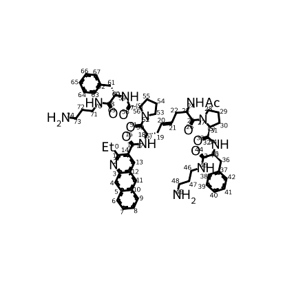 CCc1nc2cc3ccccc3cc2cc1C(=O)N[C@@H](CC=CCC(NC(C)=O)C(=O)N1CCC[C@H]1C(=O)N[C@@H](Cc1ccccc1)C(=O)NCCCN)C(=O)N1CCC[C@H]1C(=O)N[C@@H](Cc1ccccc1)C(=O)NCCCN